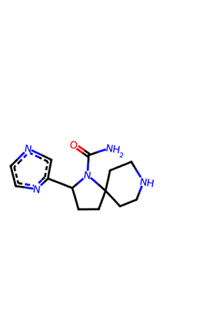 NC(=O)N1C(c2cnccn2)CCC12CCNCC2